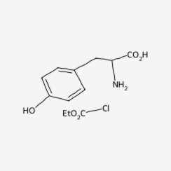 CCOC(=O)Cl.NC(Cc1ccc(O)cc1)C(=O)O